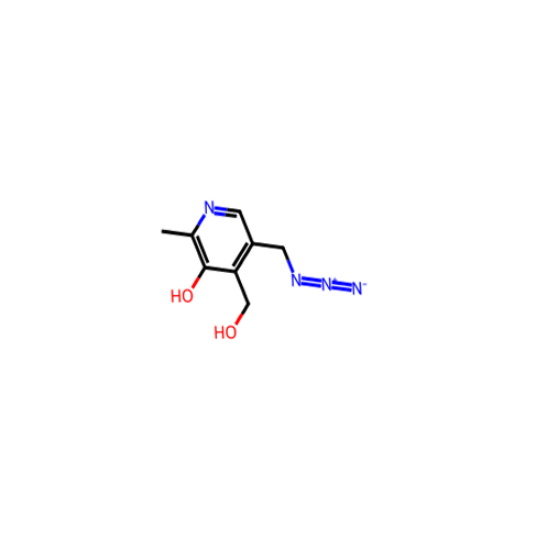 Cc1ncc(CN=[N+]=[N-])c(CO)c1O